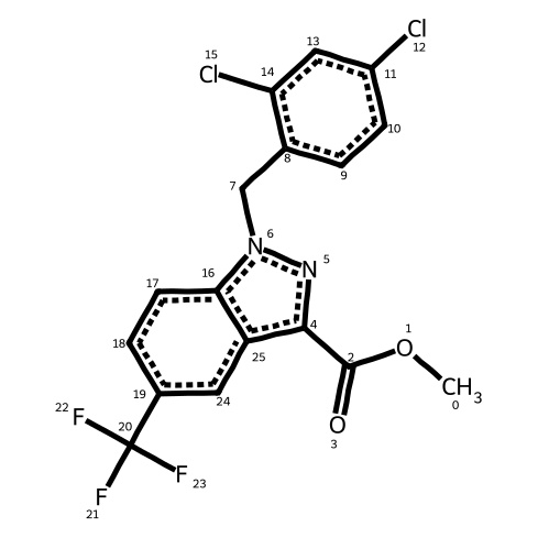 COC(=O)c1nn(Cc2ccc(Cl)cc2Cl)c2ccc(C(F)(F)F)cc12